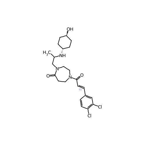 CC(CN1CCN(C(=O)/C=C/c2ccc(Cl)c(Cl)c2)CCC1=O)N[C@H]1CC[C@H](O)CC1